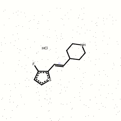 Cl.Fc1ccsc1/C=C/C1CCNCC1